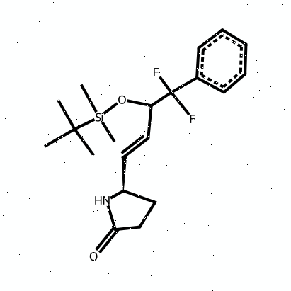 CC(C)(C)[Si](C)(C)OC(/C=C/[C@H]1CCC(=O)N1)C(F)(F)c1ccccc1